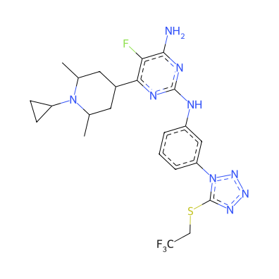 CC1CC(c2nc(Nc3cccc(-n4nnnc4SCC(F)(F)F)c3)nc(N)c2F)CC(C)N1C1CC1